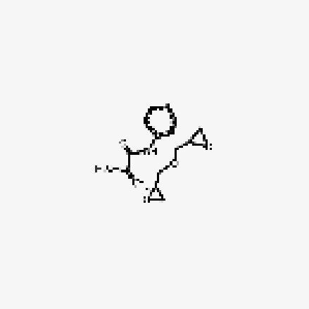 C(OCC1CO1)C1CO1.C=C(C)C(=O)Nc1ccccc1